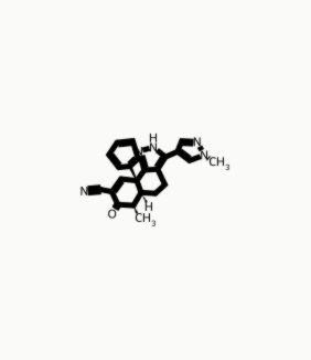 C[C@@H]1C(=O)C(C#N)=C[C@]2(c3ccccc3)c3n[nH]c(-c4cnn(C)c4)c3CC[C@@H]12